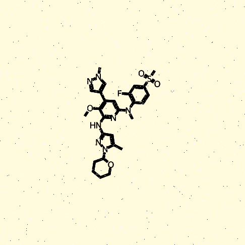 COc1c(-c2cnn(C)c2)cc(N(C)c2ccc(S(C)(=O)=O)cc2F)nc1Nc1cc(C)n(C2CCCCO2)n1